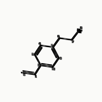 [CH]=Cc1ccc(CCBr)cc1